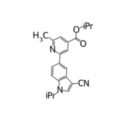 Cc1cc(C(=O)OC(C)C)cc(-c2ccc3c(c2)c(C#N)cn3C(C)C)n1